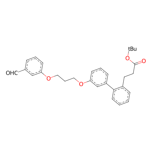 CC(C)(C)OC(=O)CCc1ccccc1-c1cccc(OCCCOc2cccc(C=O)c2)c1